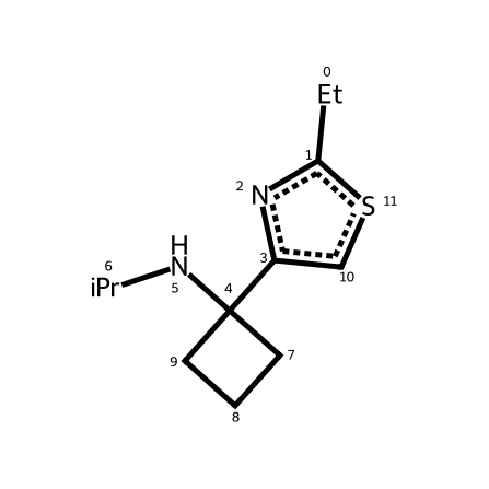 CCc1nc(C2(NC(C)C)CCC2)cs1